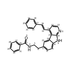 O=C(NCCc1ccc2[nH]c3nccc(C=Cc4ccccc4)c3c2c1)c1ccccc1